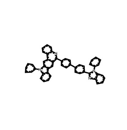 c1ccc(-n2c(-c3ccc(-c4ccc(-c5nc6ccccc6c6cc7c(cc56)c5ccccc5n7-c5ccccc5)cc4)cc3)nc3ccccc32)cc1